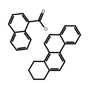 O=C(Cl)c1cccc2ccccc12.c1ccc2c(c1)ccc1c3c(ccc12)CCCC3